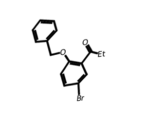 CCC(=O)c1cc(Br)ccc1OCc1ccccc1